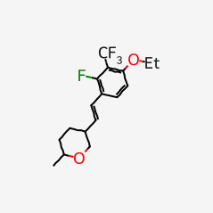 CCOc1ccc(/C=C/C2CCC(C)OC2)c(F)c1C(F)(F)F